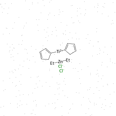 C1=CC[C]([Ti+2][C]2=CC=CC2)=C1.C[CH2][Zn][CH2]C.[Cl-].[Cl-]